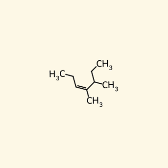 CCC=C(C)C(C)CC